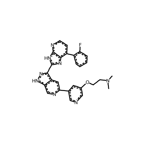 CN(C)CCOc1cncc(-c2cc3c(-c4nc5c(-c6ccccc6F)ccnc5[nH]4)n[nH]c3cn2)c1